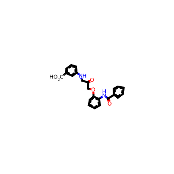 O=C(CNc1cccc(C(=O)O)c1)COc1ccccc1NC(=O)c1ccccc1